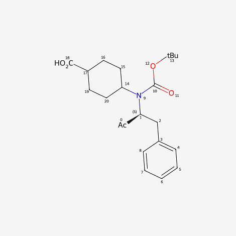 [CH2]C(=O)[C@H](Cc1ccccc1)N(C(=O)OC(C)(C)C)C1CCC(C(=O)O)CC1